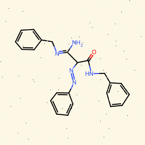 N/C(=N\Cc1ccccc1)C(/N=N/c1ccccc1)C(=O)NCc1ccccc1